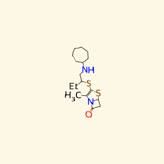 CCC(CNC1CCCCCC1)SC1=C(C)N2C(=O)CC2S1